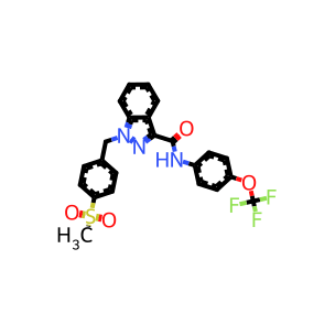 CS(=O)(=O)c1ccc(Cn2nc(C(=O)Nc3ccc(OC(F)(F)F)cc3)c3ccccc32)cc1